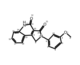 COc1cccc(N2Cc3c(c(=O)[nH]c4ccccc34)C2=O)c1